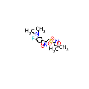 CCN(CC)c1cc2c(CS(=O)(=O)C3=NOC(C)(C)C3)noc2cc1F